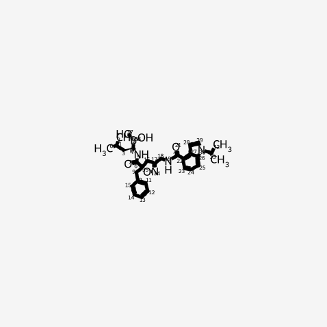 CC(C)C[C@H](NC(=O)C1(Cc2ccccc2)CC(CNC(=O)c2cccc3c2ccn3C(C)C)=NO1)B(O)O